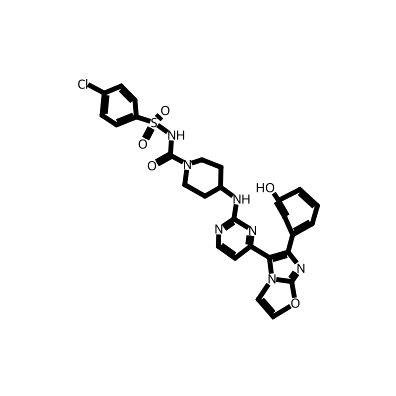 O=C(NS(=O)(=O)c1ccc(Cl)cc1)N1CCC(Nc2nccc(-c3c(-c4cccc(O)c4)nc4occn34)n2)CC1